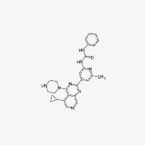 Cc1cc(-c2nc(N3CCNCC3)c3c(C4CC4)cncc3n2)cc(NC(=O)Nc2ccccc2)n1